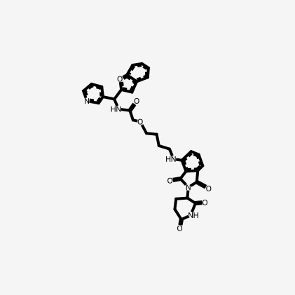 O=C1CCC(N2C(=O)c3cccc(NCCCCOCC(=O)NC(c4cccnc4)c4cc5ccccc5o4)c3C2=O)C(=O)N1